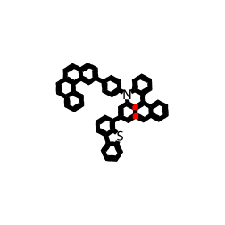 c1cc(-c2cccc3c2sc2ccccc23)cc(N(c2ccc(-c3ccc4ccc5ccc6ccccc6c5c4c3)cc2)c2ccccc2-c2cccc3ccccc23)c1